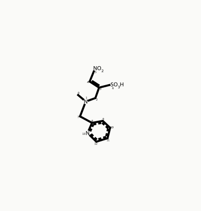 CN(CC(=C[N+](=O)[O-])S(=O)(=O)O)Cc1ccccn1